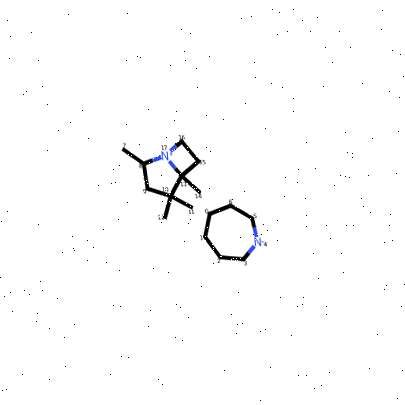 C1CCC[N]CC1.CC1CC(C)(C)C2(C)CC[N+]12